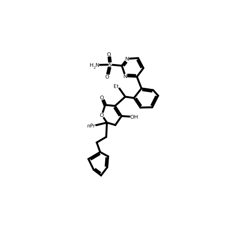 CCCC1(CCc2ccccc2)CC(O)=C(C(CC)c2ccccc2-c2ccnc(S(N)(=O)=O)n2)C(=O)O1